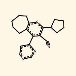 N#Cc1c(C2CCCC2)nc2c(c1-c1ccncn1)CCCCC2